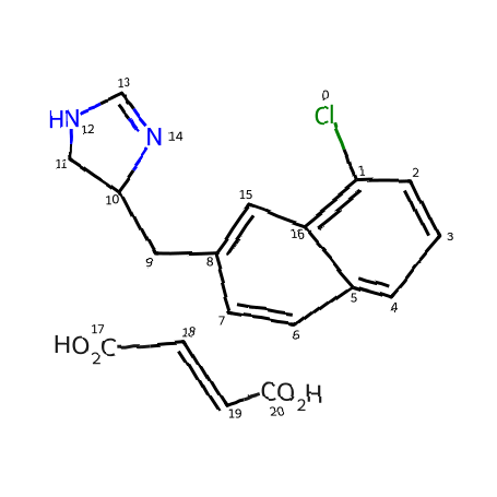 Clc1cccc2ccc(CC3CNC=N3)cc12.O=C(O)C=CC(=O)O